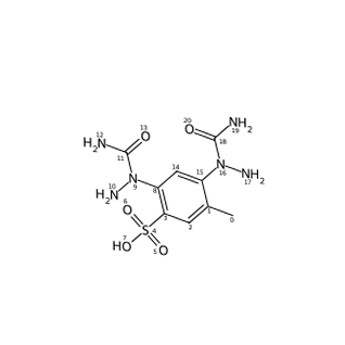 Cc1cc(S(=O)(=O)O)c(N(N)C(N)=O)cc1N(N)C(N)=O